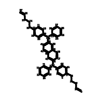 C=CCCCc1ccc(N(c2ccccc2)c2ccc3cc(N(c4ccccc4)c4ccc(CCCC=C)cc4)ccc3c2)cc1